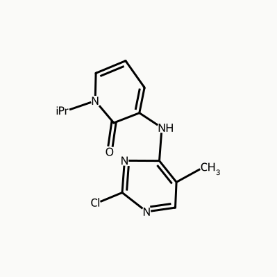 Cc1cnc(Cl)nc1Nc1cccn(C(C)C)c1=O